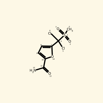 CS(=O)(=O)C(Cl)(Cl)c1ccc(C(N)=O)o1